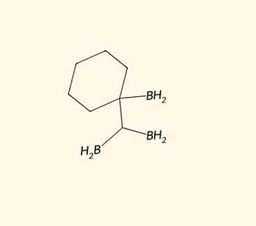 BC(B)C1(B)CCCCC1